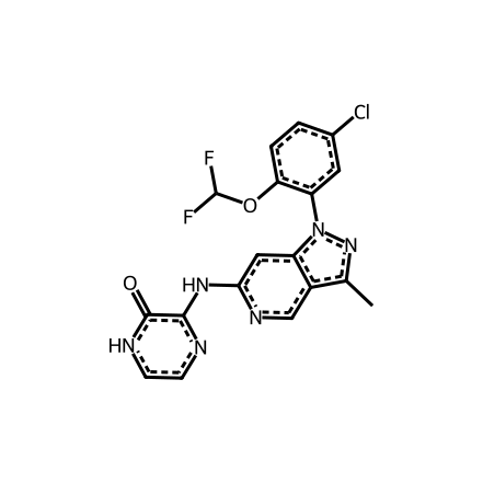 Cc1nn(-c2cc(Cl)ccc2OC(F)F)c2cc(Nc3ncc[nH]c3=O)ncc12